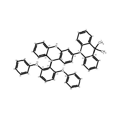 CC1(C)c2ccccc2N(c2ccc3c(c2)Oc2ccccc2B3c2c(Oc3ccccc3)cccc2Oc2ccccc2)c2ccccc21